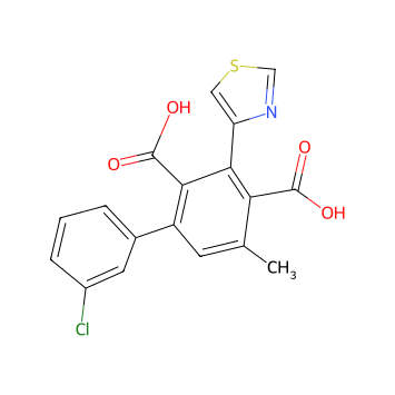 Cc1cc(-c2cccc(Cl)c2)c(C(=O)O)c(-c2cscn2)c1C(=O)O